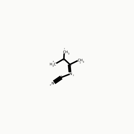 CC(=NC#N)C(C)C